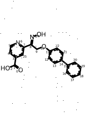 O=C(O)c1ccnc(/C(COc2ccc(-c3ccccc3)cc2)=N/O)c1